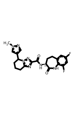 Cn1cc(C2CCCc3nc(C(=O)N[C@H]4CCc5cc(F)cc(F)c5NC4=O)nn32)cn1